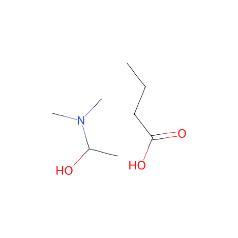 CC(O)N(C)C.CCCC(=O)O